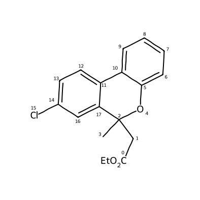 CCOC(=O)CC1(C)Oc2ccccc2-c2ccc(Cl)cc21